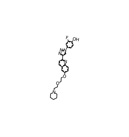 Oc1ccc(-n2cc(-c3ccc4cc(OCCOCCN5CCCCC5)ccc4n3)nn2)cc1F